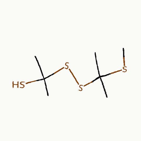 CSC(C)(C)SSC(C)(C)S